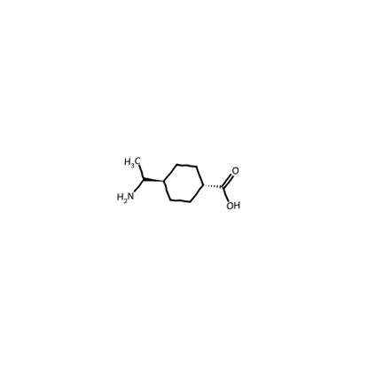 CC(N)[C@H]1CC[C@H](C(=O)O)CC1